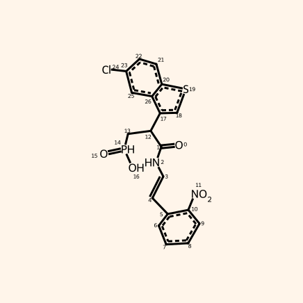 O=C(N/C=C/c1ccccc1[N+](=O)[O-])C(C[PH](=O)O)c1csc2ccc(Cl)cc12